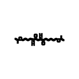 CC(C)OCCCCCC(=O)NCC(=O)NCCCCOC(C)C